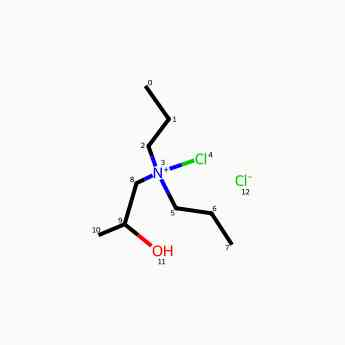 CCC[N+](Cl)(CCC)CC(C)O.[Cl-]